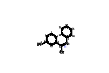 CC(C)c1cccc(/C(Br)=N\c2ccccc2)c1